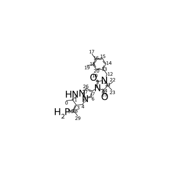 CC(=N)/C(Cn1cc(N2C(=O)N(Cc3ccc(C)c(C)c3)C(C)(C)C2=O)cn1)=C(/C)P